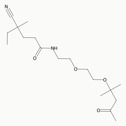 CCC(C)(C#N)CCC(=O)NCCOCCOC(C)(C)CC(C)=O